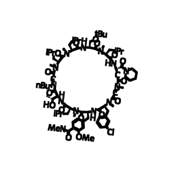 CCCCN1CC(=O)N(C)[C@@H](CC(C)C)C(=O)N(C)[C@@H](CC(C)C)C(=O)N[C@@H](COC(C)(C)C)C(=O)N(C)[C@@H](CC(C)C)C(=O)N[C@H](C(=O)N2CCCCC2)CC(=O)N(C)CC(=O)N(C)[C@@H](Cc2cccc(Cl)c2)C(=O)N[C@@H](Cc2ccc(C(=O)NC)c(OC)c2)C(=O)N(C)[C@@H](CC(C)C)C(=O)N[C@@H]([C@@H](C)O)C1=O